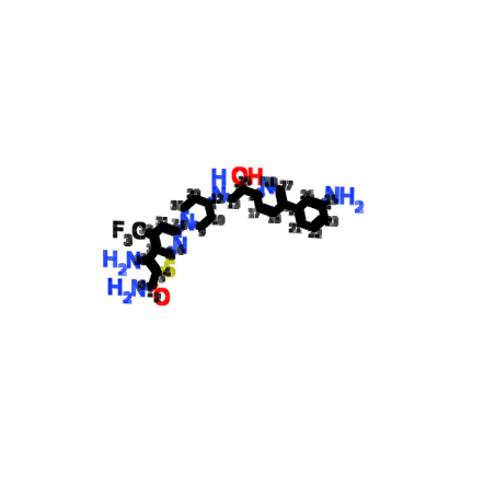 NC(=O)c1sc2nc(N3CCC(NCC(O)c4ccc(-c5cccc(N)c5)cn4)CC3)cc(C(F)(F)F)c2c1N